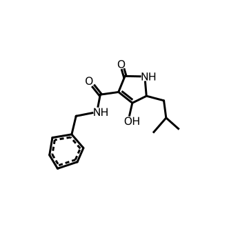 CC(C)CC1NC(=O)C(C(=O)NCc2ccccc2)=C1O